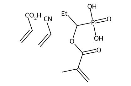 C=C(C)C(=O)OC(CC)P(=O)(O)O.C=CC#N.C=CC(=O)O